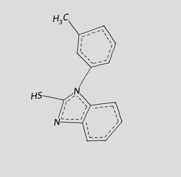 Cc1cccc(-n2c(S)nc3ccccc32)c1